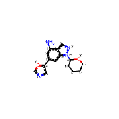 Nc1cc(-c2cnco2)cc2c1cnn2C1CCCCO1